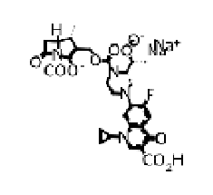 C[C@@H]1C(COC(=O)N2CCN(c3cc4c(cc3F)c(=O)c(C(=O)O)cn4C3CC3)C[C@H]2[C@@H](C)O[O-])=C(C(=O)[O-])N2C(=O)C[C@H]12.[Na+].[Na+]